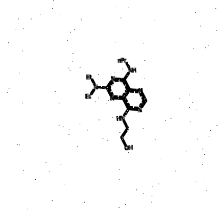 CCCNc1nc(N(CC)CC)nc2c(NCCO)ncnc12